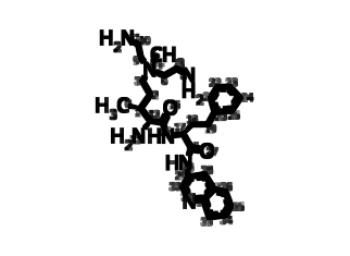 C[C@@H](CC[N+](C)(CCN)CCN)[C@H](N)C(=O)N[C@@H](CCc1ccccc1)C(=O)Nc1cnc2ccccc2c1